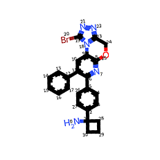 NC1(c2ccc(-c3nc4c(cc3-c3ccccc3)-n3c(Br)nnc3CO4)cc2)CCC1